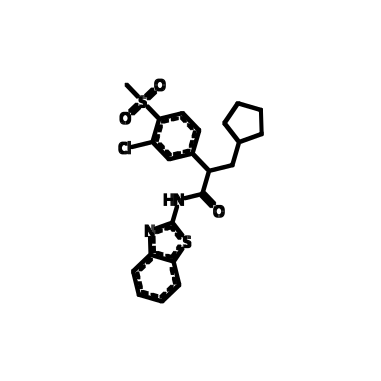 CS(=O)(=O)c1ccc(C(CC2CCCC2)C(=O)Nc2nc3ccccc3s2)cc1Cl